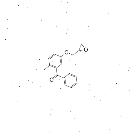 Cc1ccc(OCC2CO2)cc1C(=O)c1ccccc1